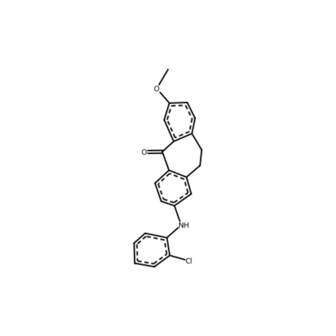 COc1ccc2c(c1)C(=O)c1ccc(Nc3ccccc3Cl)cc1CC2